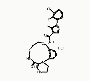 Cc1c(C(=O)N[C@H]2CCCCCNC(=O)[C@H]3CNCCN3c3cccc2c3)cnn1-c1cccc(Cl)c1F.Cl